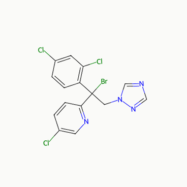 Clc1ccc(C(Br)(Cn2cncn2)c2ccc(Cl)cc2Cl)nc1